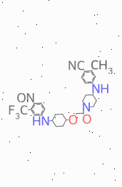 Cc1cc(NC2CCN(C(=O)COC3CCC(Nc4ccc(N=O)c(C(F)(F)F)c4)CC3)CC2)ccc1C#N